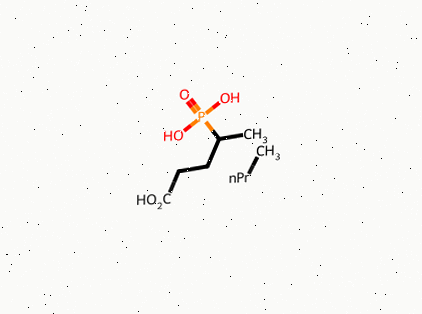 CC(CCC(=O)O)P(=O)(O)O.CCCC